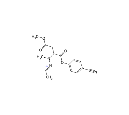 C/C=N/N(C)C(CC(=O)OC)C(=O)Oc1ccc(C#N)cc1